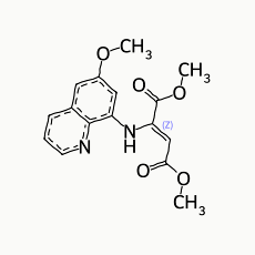 COC(=O)/C=C(\Nc1cc(OC)cc2cccnc12)C(=O)OC